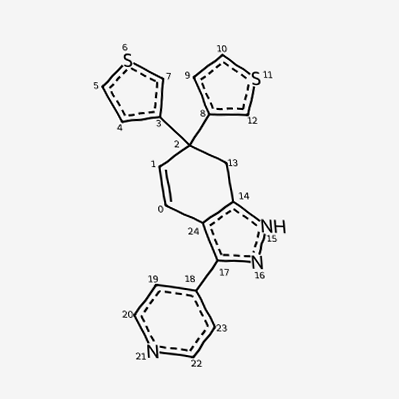 C1=CC(c2ccsc2)(c2ccsc2)Cc2[nH]nc(-c3ccncc3)c21